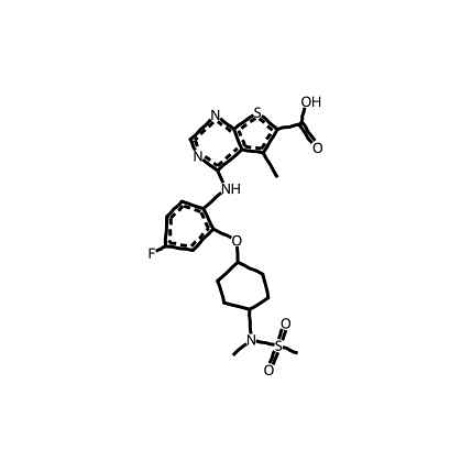 Cc1c(C(=O)O)sc2ncnc(Nc3ccc(F)cc3OC3CCC(N(C)S(C)(=O)=O)CC3)c12